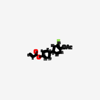 C=CC(=O)Oc1ccc(-c2ccc(OC(C)=O)c(F)c2)cc1